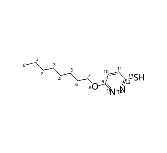 CCCCCCCCOc1ccc(S)nn1